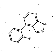 Fc1ncccc1-c1ncnc2[nH]ncc12